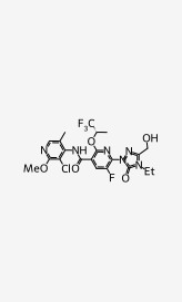 CCn1c(CO)nn(-c2nc(O[C@@H](C)C(F)(F)F)c(C(=O)Nc3c(C)cnc(OC)c3Cl)cc2F)c1=O